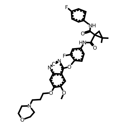 COc1cc2c(Oc3ccc(NC(=O)C4(C(=O)Nc5ccc(F)cc5)CC4(C)C)cc3F)ncnc2cc1OCCCN1CCOCC1